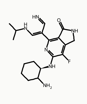 CC(C)N/C=C(\C=N)c1nc(N[C@@H]2CCCCC2N)c(F)c2c1C(=O)NC2